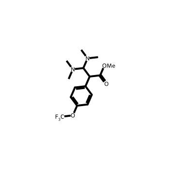 COC(=O)C(c1ccc(OC(F)(F)F)cc1)C(N(C)C)N(C)C